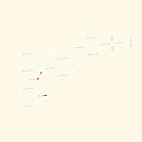 Cc1c(Oc2ccc(S(=O)(=O)C3CC3)cc2F)ncnc1O[C@@H]1CC2COC[C@@H](C1)N2Cc1ccccc1